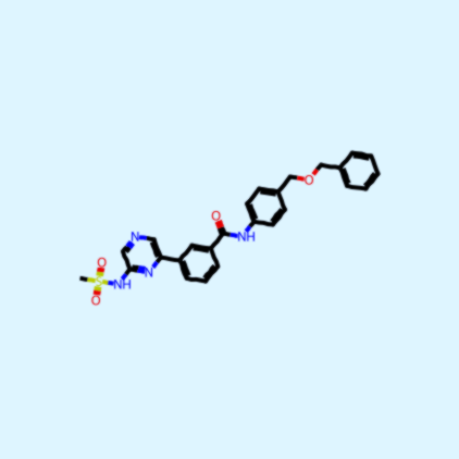 CS(=O)(=O)Nc1cncc(-c2cccc(C(=O)Nc3ccc(COCc4ccccc4)cc3)c2)n1